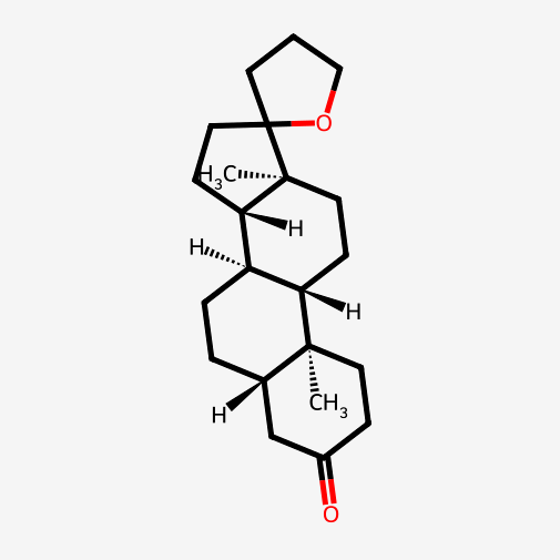 C[C@]12CCC(=O)C[C@@H]1CC[C@@H]1[C@@H]2CC[C@@]2(C)[C@H]1CCC21CCCO1